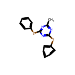 Cc1nc(Sc2ccccc2)nc(Sc2ccccc2)n1